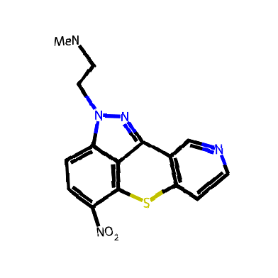 CNCCn1nc2c3c(c([N+](=O)[O-])ccc31)Sc1ccncc1-2